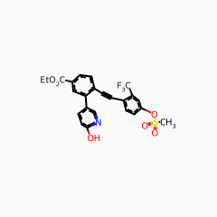 CCOC(=O)c1ccc(C#Cc2ccc(OS(C)(=O)=O)cc2C(F)(F)F)c(-c2ccc(O)nc2)c1